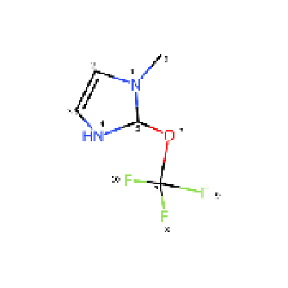 CN1C=[C]NC1OC(F)(F)F